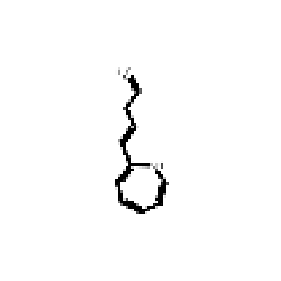 C=CCC=CC1=CC=CC=CN1